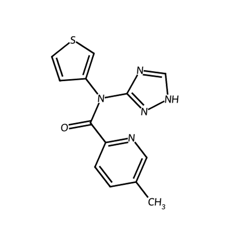 Cc1ccc(C(=O)N(c2ccsc2)c2nc[nH]n2)nc1